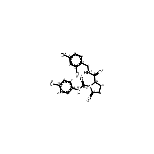 O=C(NCc1ccc(Cl)cc1Cl)C1CCC(=O)N1C(=O)Nc1ccc(Cl)nc1